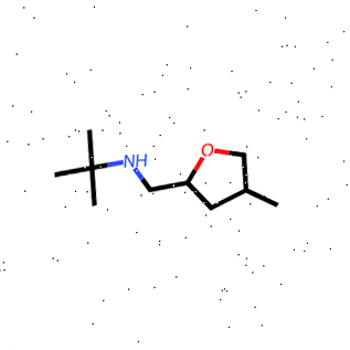 CC1COC(CNC(C)(C)C)C1